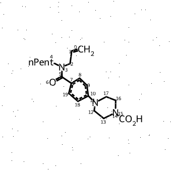 C=CCN(CCCCC)C(=O)c1ccc(N2CCN(C(=O)O)CC2)cc1